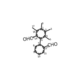 Cc1c(C)c(C)c(-c2ccccc2C=O)c(C=O)c1C